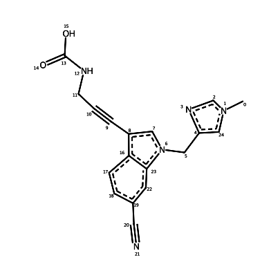 Cn1cnc(Cn2cc(C#CCNC(=O)O)c3ccc(C#N)cc32)c1